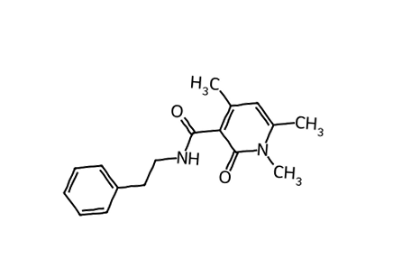 Cc1cc(C)n(C)c(=O)c1C(=O)NCCc1ccccc1